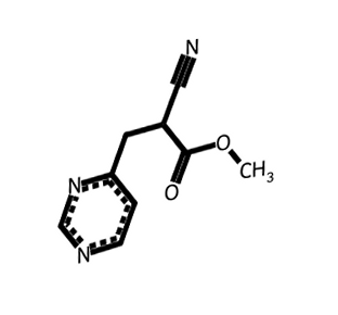 COC(=O)C(C#N)Cc1ccncn1